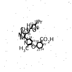 Cc1nc(-c2nnn(C)c2CNc2cc(C(C)C)no2)ccc1O[C@H]1CCC[C@H](C(=O)O)C1